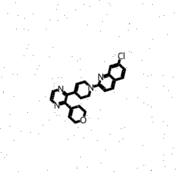 Clc1ccc2ccc(N3CC=C(c4nccnc4C4=CCOCC4)CC3)nc2c1